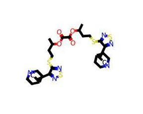 CC(CCSc1nsnc1C1CN2CCC1CC2)OC(=O)C(=O)OC(C)CCSc1nsnc1C1CN2CCC1CC2